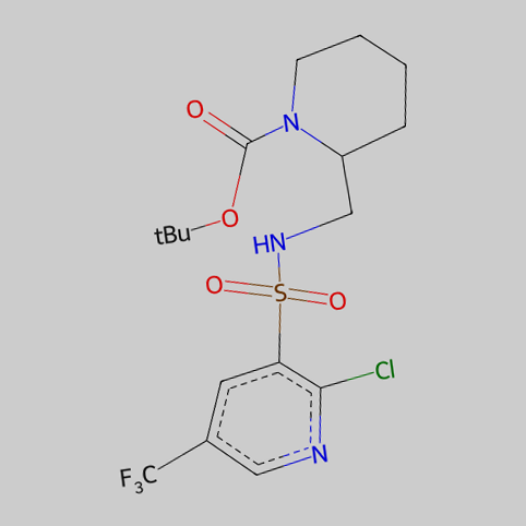 CC(C)(C)OC(=O)N1CCCCC1CNS(=O)(=O)c1cc(C(F)(F)F)cnc1Cl